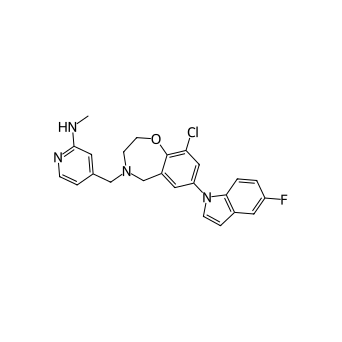 CNc1cc(CN2CCOc3c(Cl)cc(-n4ccc5cc(F)ccc54)cc3C2)ccn1